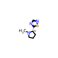 CN1CCC[C@H]1c1ncns1